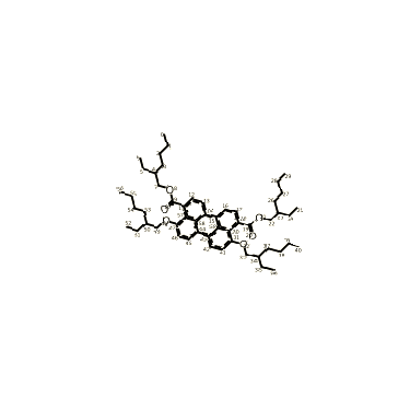 CCCCC(CC)COC(=O)c1ccc2c3ccc(C(=O)OCC(CC)CCCC)c4c(OCC(CC)CCCC)ccc(c5ccc(OCC(CC)CCCC)c1c52)c43